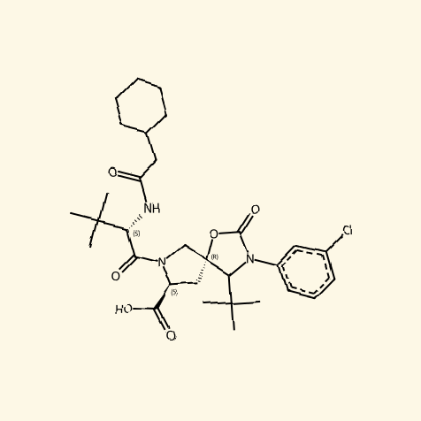 CC(C)(C)C1N(c2cccc(Cl)c2)C(=O)O[C@@]12C[C@@H](C(=O)O)N(C(=O)[C@@H](NC(=O)CC1CCCCC1)C(C)(C)C)C2